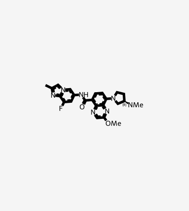 CN[C@@H]1CCN(c2ccc(C(=O)Nc3cc(F)c4nc(C)cn4c3)c3ncc(OC)nc23)C1